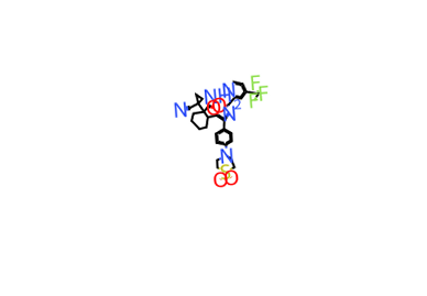 N#CC1(C2(C(N)=O)CCCCC2c2oc(-c3cc(C(F)(F)F)ccn3)nc2-c2ccc(N3CCS(=O)(=O)CC3)cc2)CC1